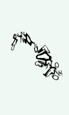 O=C1CCC(N2Cc3cc(O[C@H]4CCN(Cc5ccc6nc(N7CCC78COC8)ncc6c5)C4)ccc3C2=O)C(=O)N1